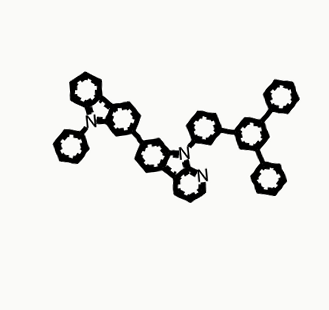 c1ccc(-c2cc(-c3ccccc3)cc(-c3cccc(-n4c5cc(-c6ccc7c8ccccc8n(-c8ccccc8)c7c6)ccc5c5cccnc54)c3)c2)cc1